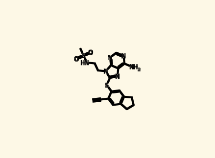 C#Cc1cc2c(cc1Sc1nc3c(N)ncnc3n1CCNS(C)(=O)=O)CCC2